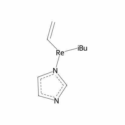 C=[CH][Re]([CH](C)CC)[n]1ccnc1